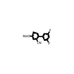 COc1ccc(-c2cc(F)cc(F)c2)c(C#N)c1